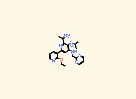 CCOc1ncccc1-c1cc(NCc2ncccn2)c(NC(C)C)c(C(C)=N)n1